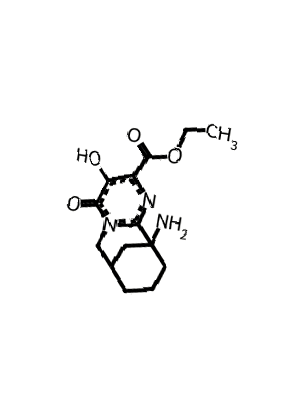 CCOC(=O)c1nc2n(c(=O)c1O)CC1CCCC2(N)C1